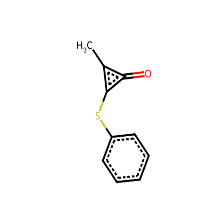 Cc1c(Sc2ccccc2)c1=O